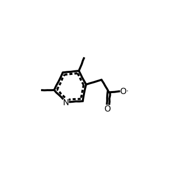 Cc1cc(C)c(CC([O])=O)cn1